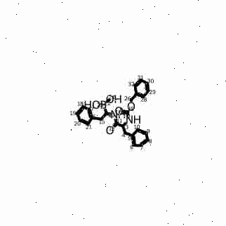 O=C(NC(Cc1ccccc1)C(=O)NC(Cc1ccccc1)B(O)O)OCc1ccccc1